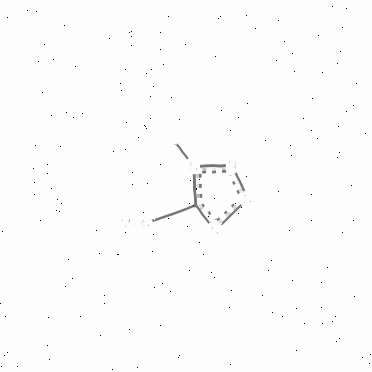 CNc1nnnn1I